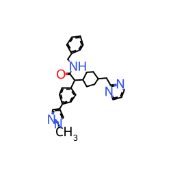 Cn1cc(-c2ccc(C(C(=O)NCc3ccccc3)C3CCC(Cc4ncccn4)CC3)cc2)cn1